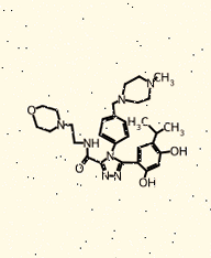 CC(C)c1cc(-c2nnc(C(=O)NCCN3CCOCC3)n2-c2ccc(CN3CCN(C)CC3)cc2)c(O)cc1O